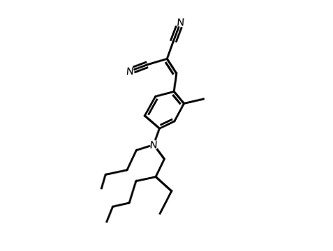 CCCCC(CC)CN(CCCC)c1ccc(C=C(C#N)C#N)c(C)c1